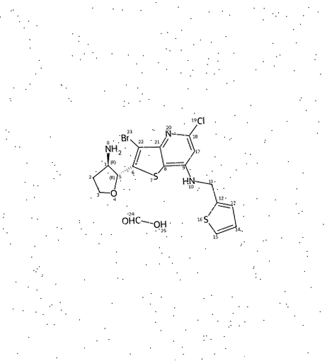 N[C@@H]1CCO[C@H]1c1sc2c(NCc3cccs3)cc(Cl)nc2c1Br.O=CO